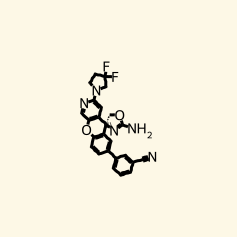 N#Cc1cccc(-c2ccc3c(c2)[C@@]2(COC(N)=N2)c2cc(N4CCC(F)(F)C4)ncc2O3)c1